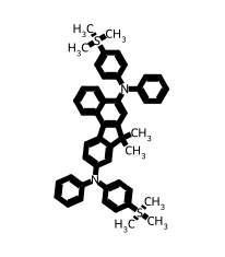 CC1(C)c2cc(N(c3ccccc3)c3ccc(S(C)(C)C)cc3)ccc2-c2c1cc(N(c1ccccc1)c1ccc(S(C)(C)C)cc1)c1ccccc21